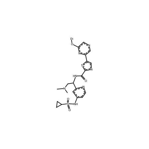 CCOc1cncc(-c2cnc(C(=O)NC(CN(C)C)c3cc(NS(=O)(=O)C4CC4)ccn3)s2)n1